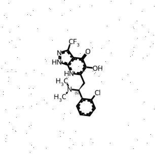 CN(C)[C@@H](Cc1[nH]c2[nH]nc(C(F)(F)F)c2c(=O)c1O)c1ccccc1Cl